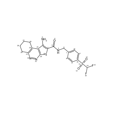 Nc1c(C(=O)NCc2ccc(S(=O)(=O)C(F)F)cc2)sc2nnc3c(c12)CCCC3